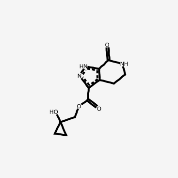 O=C(OCC1(O)CC1)c1n[nH]c2c1CCNC2=O